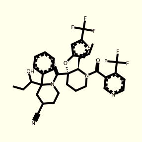 CCC[C@H]1N(C(=O)c2cnccc2C(F)(F)F)CCC[C@@]1(Oc1csc(C(F)(F)F)c1)C(=O)N1CCC(C#N)CC1(c1ccccc1)C(O)CC